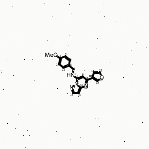 COc1ccc(CNc2cc(-c3ccoc3)nc3ccnn23)cc1